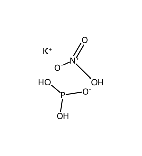 O=[N+]([O-])O.[K+].[O-]P(O)O